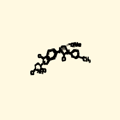 COC[C@H]1CN(c2ccc3c(c2)CN(C2CCC(=O)NC2=O)C3=O)C(=O)N1c1ccc(C)cc1